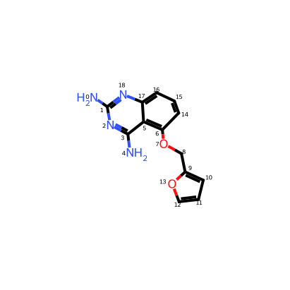 Nc1nc(N)c2c(OCc3ccco3)cccc2n1